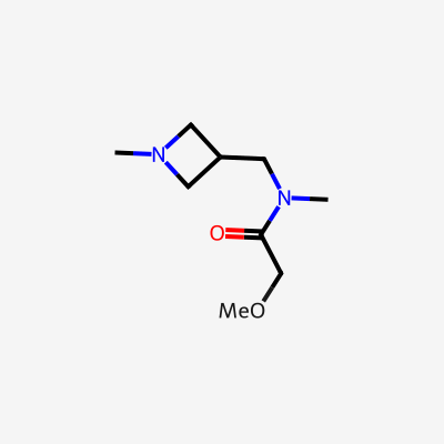 COCC(=O)N(C)CC1CN(C)C1